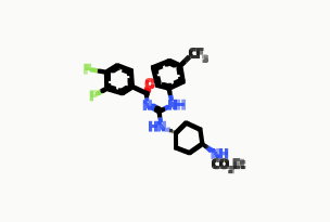 CCOC(=O)N[C@H]1CC[C@H](N/C(=N/C(=O)c2ccc(F)c(F)c2)Nc2cccc(C(F)(F)F)c2)CC1